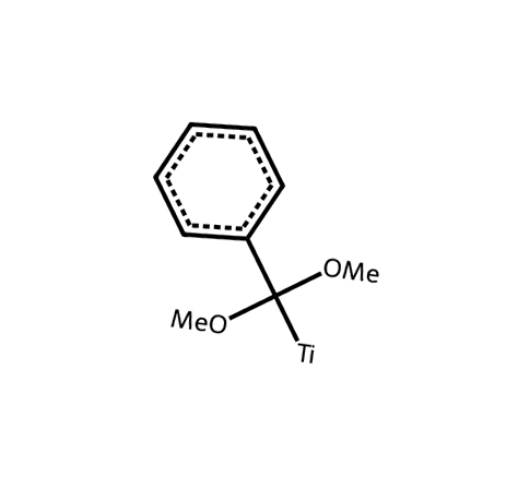 CO[C]([Ti])(OC)c1ccccc1